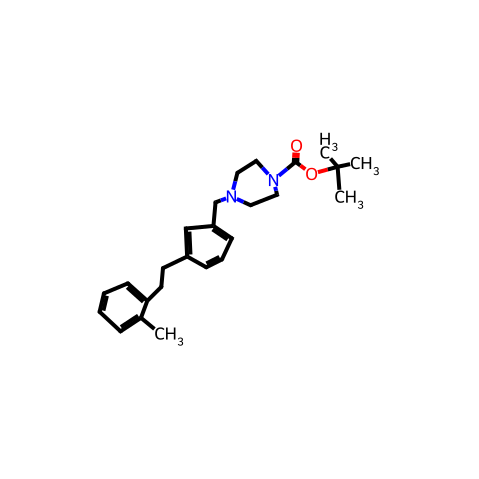 Cc1ccccc1CCc1cccc(CN2CCN(C(=O)OC(C)(C)C)CC2)c1